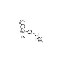 COc1ccc2c(c1)nnn2-c1ccc(CCNS(N)(=O)=O)cc1.Cl